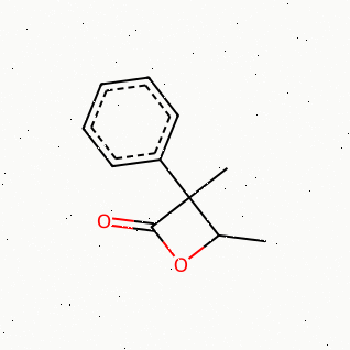 CC1OC(=O)C1(C)c1ccccc1